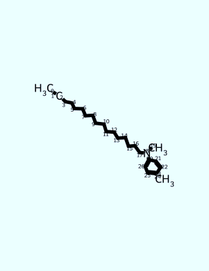 CCCCCCCCCCCCCCCCCCN(C)c1ccc(C)cc1